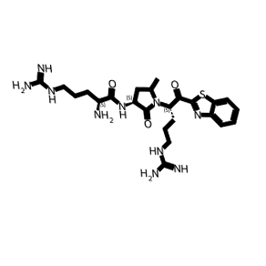 CC1C[C@H](NC(=O)[C@@H](N)CCCNC(=N)N)C(=O)N1[C@@H](CCCNC(=N)N)C(=O)c1nc2ccccc2s1